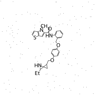 CCC1NC12CC2COc1ccc(OCc2ccccc2NC(=O)c2cc3sccc3n2C)cc1